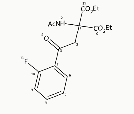 CCOC(=O)C(CC(=O)c1ccccc1F)(NC(C)=O)C(=O)OCC